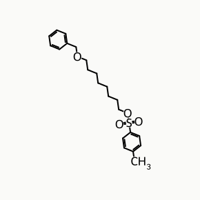 Cc1ccc(S(=O)(=O)OCCCCCCCCOCc2ccccc2)cc1